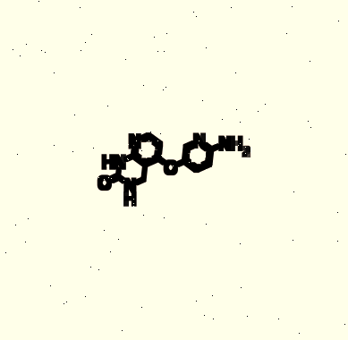 Nc1ccc(Oc2ccnc3c2CNC(=O)N3)cn1